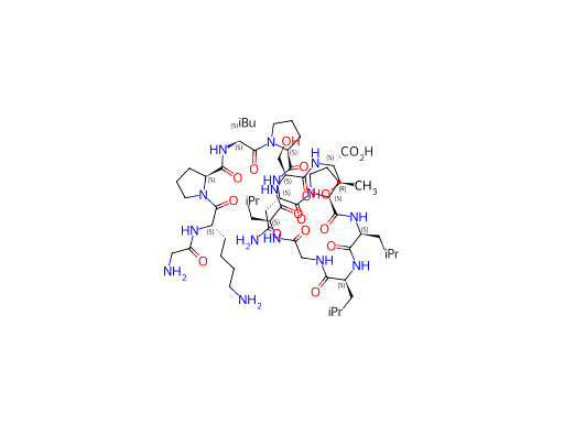 CC[C@H](C)[C@H](NC(=O)[C@@H]1CCCN1C(=O)[C@H](CCCCN)NC(=O)CN)C(=O)N1CCC[C@H]1C(=O)N[C@@H](CC(N)=O)C(=O)N1CCC[C@H]1C(=O)N[C@@H](CC(C)C)C(=O)N[C@@H](CC(C)C)C(=O)NCC(=O)N[C@@H](CC(C)C)C(=O)N[C@@H](CO)C(=O)N[C@H](C(=O)O)[C@@H](C)O